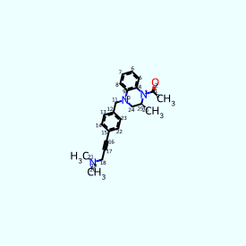 CC(=O)N1c2ccccc2N(Cc2ccc(C#CCN(C)C)cc2)C[C@@H]1C